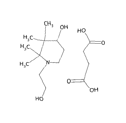 CC1(C)C(O)CCN(CCO)C1(C)C.O=C(O)CCC(=O)O